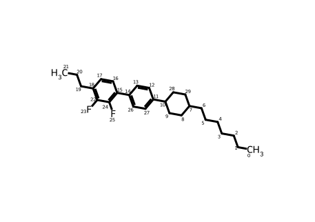 CCCCCCCC1CCC(c2ccc(-c3ccc(CCC)c(F)c3F)cc2)CC1